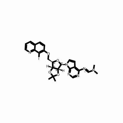 CN(C)/C=N/c1ncnc2c1ccn2[C@@H]1O[C@H](COc2ccc3cccnc3c2I)[C@H]2OC(C)(C)O[C@H]21